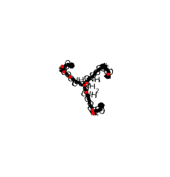 CC1[C@H](OCCOCCOCCNC(=O)CCOCC(N)(COCCC(=O)NCCOCCOCCO[C@@H]2OC(COC(=O)c3ccccc3)[C@@H](C)[C@H](C)C2C)COCCC(=O)NCCOCCOCCO[C@@H]2OC(COC(=O)c3ccccc3)[C@@H](C)[C@H](C)C2C)OC(COC(=O)c2ccccc2)[C@@H](C)[C@@H]1C